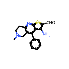 CN1CCc2nc3sc(C=O)c(N)c3c(-c3ccccc3)c2C1